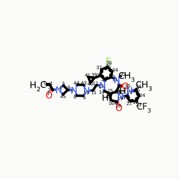 C=CC(=O)N1CC(N2CCN(CCN3C[C@H]4CC(=O)N(c5cc(C(F)(F)F)cc(C)n5)[C@@H]4C(=O)N(C)c4cc(F)cc(C5CC5)c43)CC2)C1